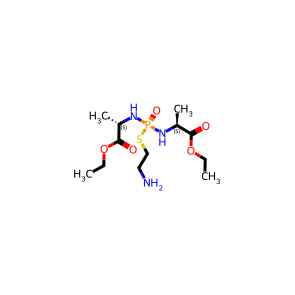 CCOC(=O)[C@H](C)NP(=O)(N[C@@H](C)C(=O)OCC)SCCN